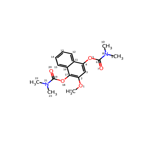 COc1cc(OC(=O)N(C)C)c2ccccc2c1OC(=O)N(C)C